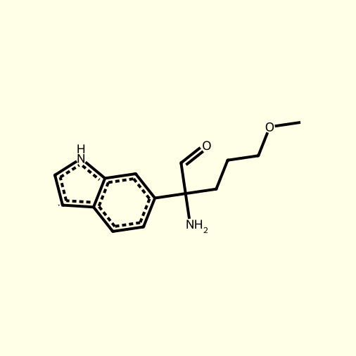 COCCCC(N)(C=O)c1ccc2[c]c[nH]c2c1